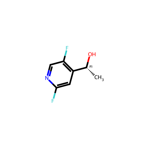 C[C@@H](O)c1cc(F)ncc1F